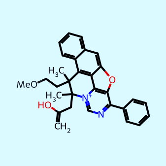 C=C(O)CC1(C)[n+]2cnc(-c3ccccc3)c3oc4cc5ccccc5c(c4c32)C1(C)CCOC